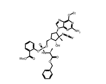 CCOc1nc(N)nc2c1ncn2[C@@H]1C[C@H](COP(=O)(N[C@@H](C)C(=O)OCc2ccccc2)Oc2ccccc2C(=O)OC)[C@@H](O)[C@@]1(C)N=[N+]=[N-]